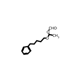 CC(O[C]=O)OCCCCCc1ccccc1